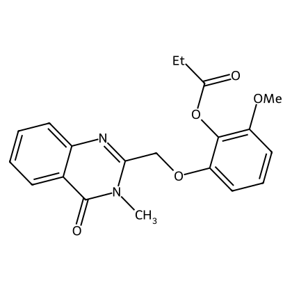 CCC(=O)Oc1c(OC)cccc1OCc1nc2ccccc2c(=O)n1C